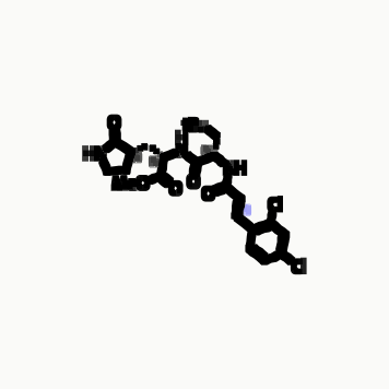 COC(=O)[C@H](C[C@@H]1CCNC1=O)NC(=O)[C@H](CC(C)(C)C)NC(=O)/C=C/c1ccc(Cl)cc1Cl